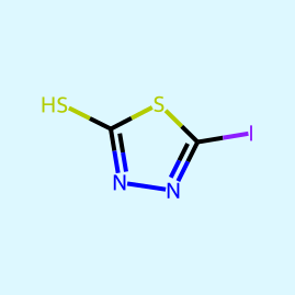 Sc1nnc(I)s1